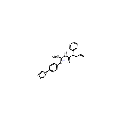 C=CCC(C(=O)N/C(=N/c1ccc(-n2ccnc2)cc1)SC)c1ccccc1